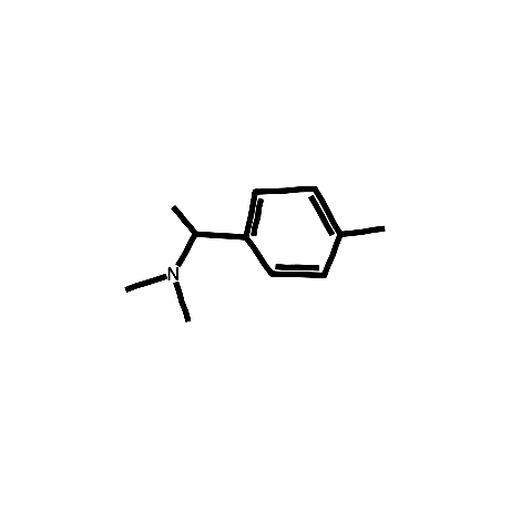 Cc1ccc(C(C)N(C)C)cc1